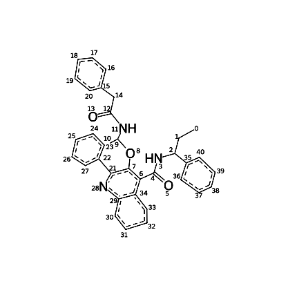 CCC(NC(=O)c1c(OC(C)NC(=O)Cc2ccccc2)c(-c2ccccc2)nc2ccccc12)c1ccccc1